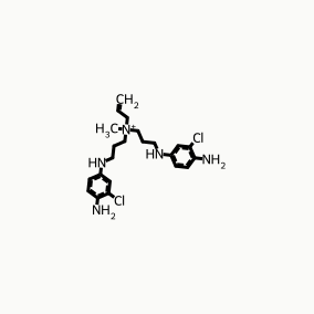 C=CC[N+](C)(CCCNc1ccc(N)c(Cl)c1)CCCNc1ccc(N)c(Cl)c1